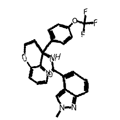 Cn1cc2c(C(=O)NC3(c4ccc(OC(F)(F)F)cc4)CCOc4cccnc43)cccc2n1